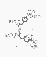 CCOC(=O)C(CSSCC(Cc1ccc(NC(=O)OC(C)(C)C)nc1)C(=O)OCC)Cc1ccc(NC(=O)OC(C)(C)C)nc1